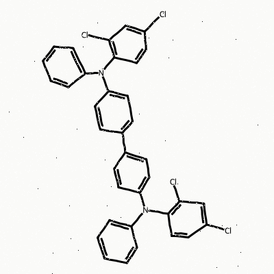 Clc1ccc(N(c2ccccc2)c2ccc(-c3ccc(N(c4ccccc4)c4ccc(Cl)cc4Cl)cc3)cc2)c(Cl)c1